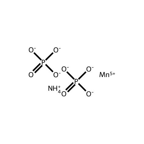 O=P([O-])([O-])[O-].O=P([O-])([O-])[O-].[Mn+5].[NH4+]